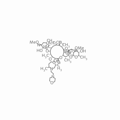 CON=C1C[C@@H](C)O[C@@H](O[C@@H]2[C@@H](C)[C@H](O[C@H]3CC(C)N(CCN4CCOCC4)C[C@H](C)O3)[C@@H](C)C(=O)O[C@H]([C@@H](C)CO[C@@H]3O[C@H](C)[C@@H](O)[C@@H](OC)[C@H]3OC)[C@H](C)[C@@H](OC(=O)CC(C)C)[C@@H](C)C(=O)[C@@](C)(OC(C)=O)C[C@@H]2C)[C@@H]1O